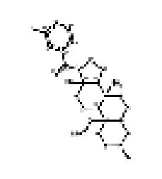 COC[C@]12CC[C@H](C)CC1CC[C@]1(N)C2CC[C@@]2(C)C1CC[C@@H]2C(=O)c1cccc(C)c1